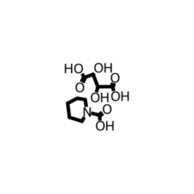 O=C(O)C(O)C(O)C(=O)O.O=C(O)N1CCCCC1